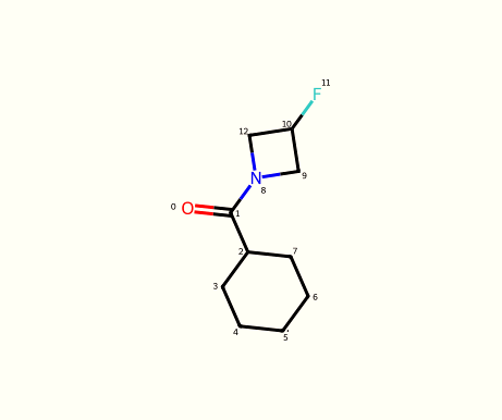 O=C(C1CC[CH]CC1)N1CC(F)C1